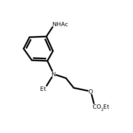 CCOC(=O)OCCN(CC)c1cccc(NC(C)=O)c1